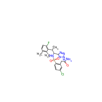 Cc1ccc(F)c(C(C)C(NS(=O)(=O)c2ccc(Cl)cc2CC(N)=O)c2nn[nH]n2)c1C